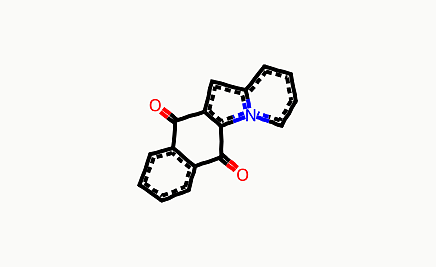 O=C1c2ccccc2C(=O)c2c1cc1ccccn21